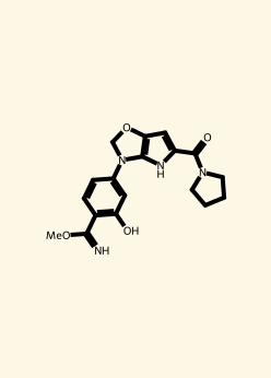 COC(=N)c1ccc(N2COc3cc(C(=O)N4CCCC4)[nH]c32)cc1O